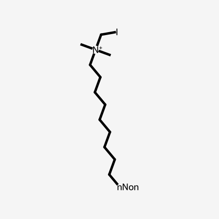 CCCCCCCCCCCCCCCCCC[N+](C)(C)CI